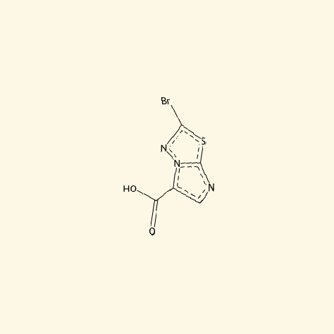 O=C(O)c1cnc2sc(Br)nn12